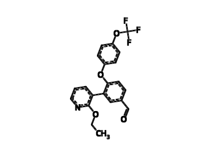 CCOc1ncccc1-c1cc(C=O)ccc1Oc1ccc(OC(F)(F)F)cc1